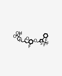 O=C(O)C1(F)CCN(CC2=Cc3c(F)cc(OCc4cc(-c5ccccc5)c(C(F)(F)F)s4)cc3OC2)C1